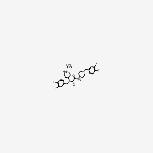 Cl.Cl.O=C(NC1CCN(Cc2ccc(F)c(F)c2)CC1)C(Cl)N(Cc1ccc(F)c(F)c1)C1CCNCC1